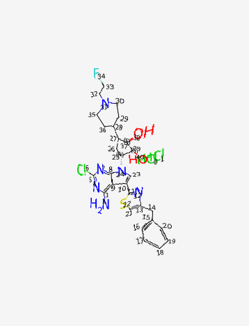 Cl.Cl.Nc1nc(Cl)nc2c1c(-c1nc(Cc3ccccc3)cs1)cn2[C@@H]1CC(C2CCN(CCF)CC2)[C@@H](O)[C@H]1O